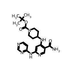 CC(C)(C)OC(=O)N1CCC(Nc2cc(Nc3ccncn3)ncc2C(N)=O)CC1